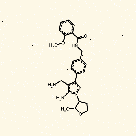 COc1ccccc1C(=O)NCc1ccc(-c2nn(C3CCOC3C)c(N)c2CN)cc1